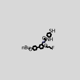 CCCCOc1ccc(-c2ccc(OCCCF)c(/C=C/C(=O)Nc3ccc(S)cc3)c2)cc1